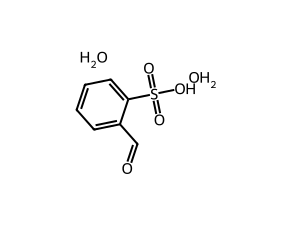 O.O.O=Cc1ccccc1S(=O)(=O)O